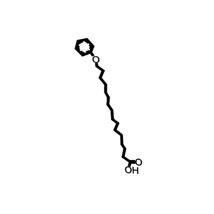 O=C(O)CCCCCCCCCCCCCCCOc1ccccc1